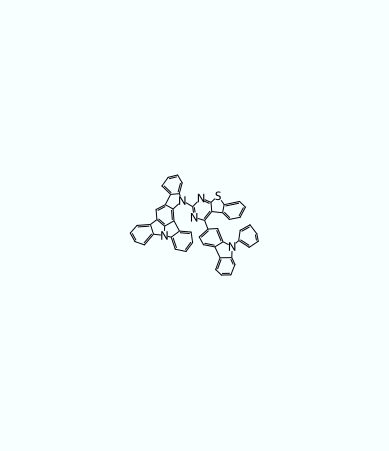 c1ccc(-n2c3ccccc3c3ccc(-c4nc(-n5c6ccccc6c6cc7c8ccccc8n8c9ccccc9c(c65)c78)nc5sc6ccccc6c45)cc32)cc1